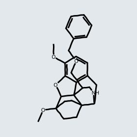 COc1ccc2c3c1OC1C4(OC)CCC5(CC4)C(C2)NCC(COCc2ccccc2)C315